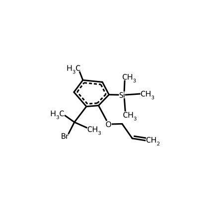 C=CCOc1c(C(C)(C)Br)cc(C)cc1[Si](C)(C)C